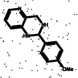 COc1ccc(C2NCc3ncccc3N2)cc1